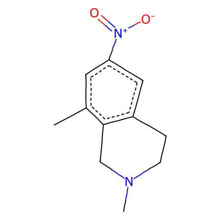 Cc1cc([N+](=O)[O-])cc2c1CN(C)CC2